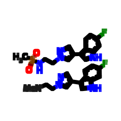 CNCCn1cc(-c2c[nH]c3cc(F)ccc23)cn1.CS(=O)(=O)NCCn1cc(-c2c[nH]c3cc(F)ccc23)cn1